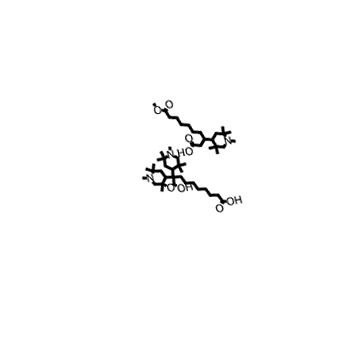 CN1CC(C)(C)C(C(CCCCCCCC(=O)O)(C(=O)O)C2CC(C)(C)N(C)CC2(C)C)CC1(C)C.COC(=O)CCCCCCC(CC(=O)O)C1CC(C)(C)N(C)CC1(C)C